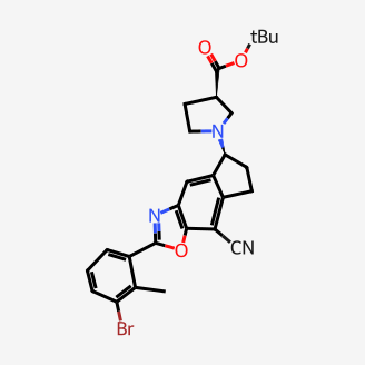 Cc1c(Br)cccc1-c1nc2cc3c(c(C#N)c2o1)CC[C@@H]3N1CC[C@@H](C(=O)OC(C)(C)C)C1